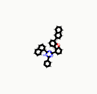 c1ccc(C2=NC(c3cccc4oc5c(-c6ccc7ccccc7c6)cccc5c34)=NC(c3cccc4ccccc34)N2)cc1